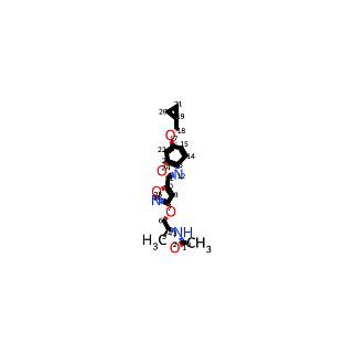 CC(=O)N[C@@H](C)COc1cc(-c2nc3ccc(OCC4CC4)cc3o2)on1